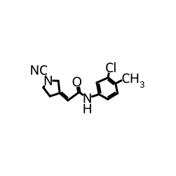 Cc1ccc(NC(=O)C=C2CCN(C#N)C2)cc1Cl